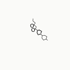 CCCC(=O)CC(=O)c1ccc(C2CCC(C)CC2)cc1